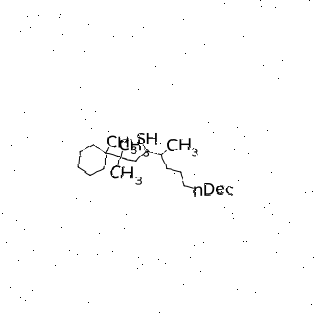 CCCCCCCCCCCCCC(C)C(S)CC(C)(C)C1(C)CCCCC1